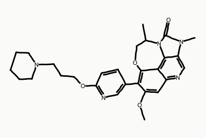 COc1cc2ncc3c4c2c(c1-c1ccc(OCCCN2CCCCC2)nc1)OCC(C)n4c(=O)n3C